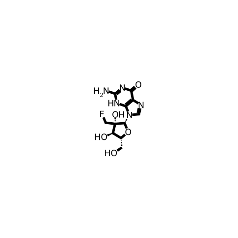 Nc1nc(=O)c2ncn([C@@H]3O[C@H](CO)[C@@H](O)[C@@]3(O)CF)c2[nH]1